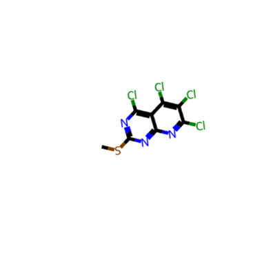 CSc1nc(Cl)c2c(Cl)c(Cl)c(Cl)nc2n1